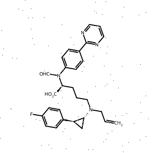 C=CCN(CCC[C@@H](C(=O)O)N(C=O)c1ccc(-c2ncccn2)cc1)[C@@H]1C[C@H]1c1ccc(F)cc1